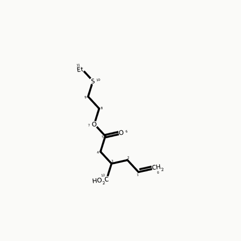 C=CCC(CC(=O)OCCSCC)C(=O)O